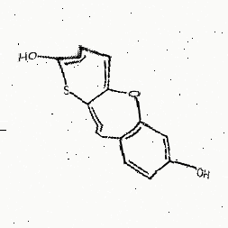 OC1=CC=C2Oc3cc(O)ccc3C=C2S1